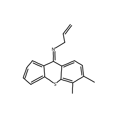 C=CCN=c1c2ccccc2sc2c(C)c(C)ccc12